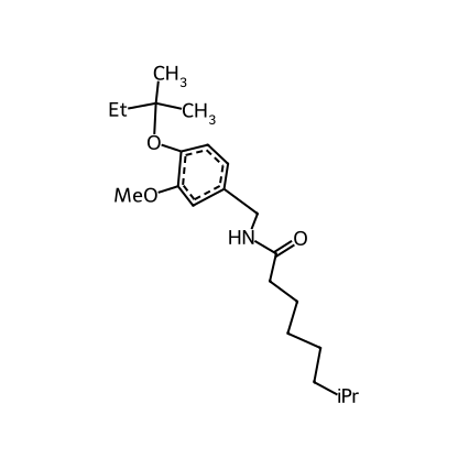 CCC(C)(C)Oc1ccc(CNC(=O)CCCCCC(C)C)cc1OC